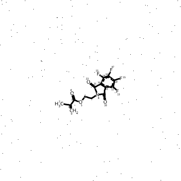 C=C(C)C(=O)OCCN1C(=O)c2c(F)c(F)c(F)c(F)c2C1=O